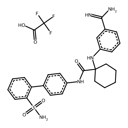 N=C(N)c1cccc(NC2(C(=O)Nc3ccc(-c4ccccc4S(N)(=O)=O)cc3)CCCCC2)c1.O=C(O)C(F)(F)F